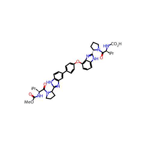 COC(=O)N[C@H](C(=O)N1CCCC1c1nc2cc(-c3ccc(Oc4cccc5[nH]c([C@@H]6CCCN6C(=O)[C@@H](NC(=O)O)C(C)C)nc45)cc3)ccc2[nH]1)C(C)C